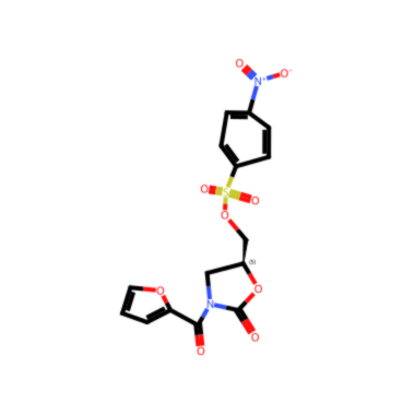 O=C1O[C@H](COS(=O)(=O)c2ccc([N+](=O)[O-])cc2)CN1C(=O)c1ccco1